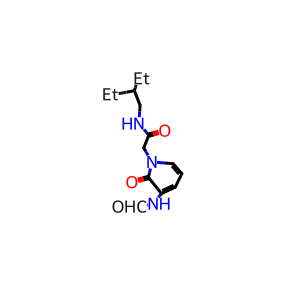 CCC(CC)CNC(=O)Cn1cccc(NC=O)c1=O